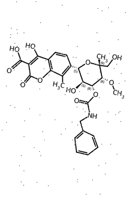 CO[C@@H]1[C@H](OC(=O)NCc2ccccc2)[C@@H](O)[C@H](c2ccc3c(O)c(C(=O)O)c(=O)oc3c2C)O[C@]1(C)CO